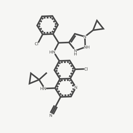 CC1(Nc2c(C#N)cnc3c(Cl)cc(NC(C4=CN(C5CC5)NN4)c4ccccc4Cl)cc23)CC1